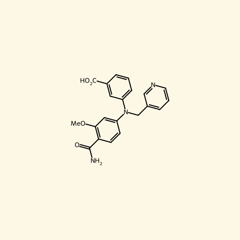 COc1cc(N(Cc2cccnc2)c2cccc(C(=O)O)c2)ccc1C(N)=O